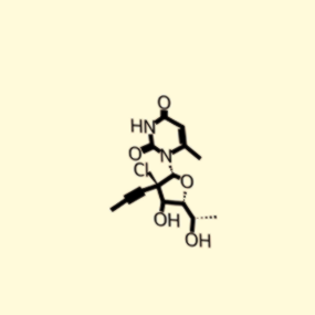 CC#C[C@@]1(Cl)C(O)[C@@H]([C@H](C)O)O[C@H]1n1c(C)cc(=O)[nH]c1=O